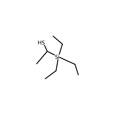 CC[Si](CC)(CC)C(C)S